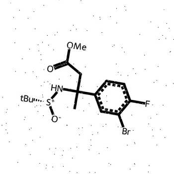 COC(=O)CC(C)(N[S@+]([O-])C(C)(C)C)c1ccc(F)c(Br)c1